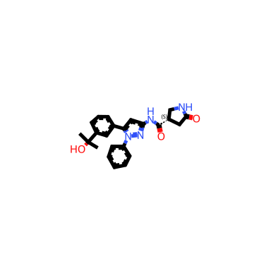 CC(C)(O)c1cccc(-c2cc(NC(=O)[C@@H]3CNC(=O)C3)nn2-c2ccccc2)c1